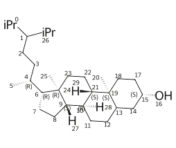 CC(C)C(CC[C@@H](C)[C@H]1CC[C@H]2[C@@H]3CCC4C[C@@H](O)CC[C@]4(C)[C@H]3CC[C@]12C)C(C)C